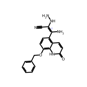 N#C/C(NN)=C(/N)c1ccc(OCc2ccccc2)c2[nH]c(=O)ccc12